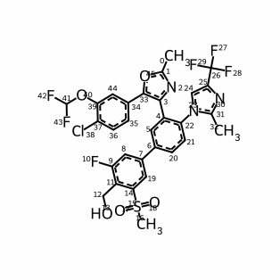 Cc1nc(-c2cc(-c3cc(F)c(CO)c(S(C)(=O)=O)c3)ccc2-n2cc(C(F)(F)F)nc2C)c(-c2ccc(Cl)c(OC(F)F)c2)o1